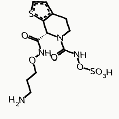 NCCCONC(=O)[C@@H]1c2sccc2CCN1C(=O)NOS(=O)(=O)O